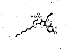 C#CCOC1C(OP(=O)(S)CCC)C(COCCCCCCCC)OC1n1ccc(=O)[nH]c1=O